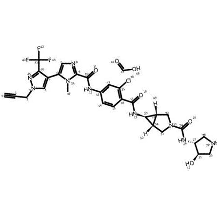 C#CCn1cc(-c2cnc(C(=O)Nc3ccc(C(=O)N[C@H]4[C@@H]5CN(C(=O)N[C@@H]6CNC[C@H]6O)C[C@@H]54)c(Cl)c3)n2C)c(C(F)(F)F)n1.O=CO